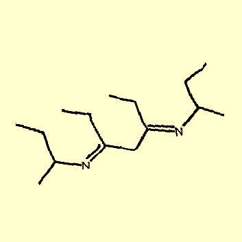 CC/C(C/C(CC)=N/C(C)CC)=N\C(C)CC